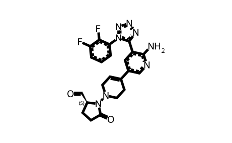 Nc1ncc(C2=CCN(N3C(=O)CC[C@H]3C=O)CC2)cc1-c1nnnn1-c1cccc(F)c1F